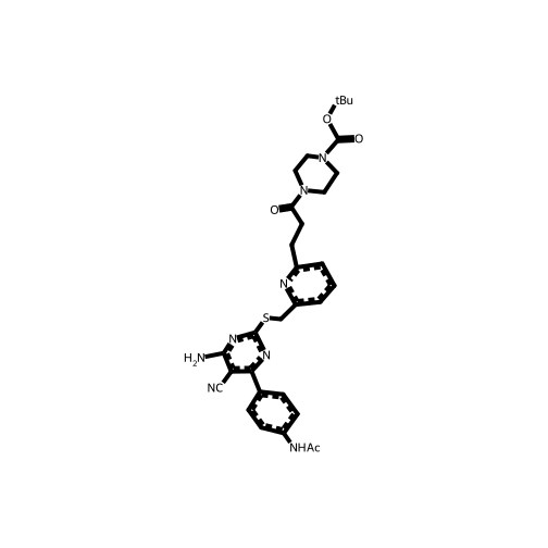 CC(=O)Nc1ccc(-c2nc(SCc3cccc(CCC(=O)N4CCN(C(=O)OC(C)(C)C)CC4)n3)nc(N)c2C#N)cc1